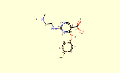 CN(C)CCNc1ncc(C(=O)O)c(Oc2ccc(F)cc2)n1